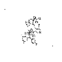 Cc1cc(F)cc([C@H](c2ccc(F)cc2)[C@H](NC(=O)CC2CC2)C(=O)Nc2cncc(F)c2CC[C@H]2CNCCN2S(=O)(=O)C2CC2)c1